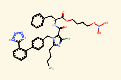 CCCCc1nc(Cl)c(C(=O)N[C@@H](Cc2ccccc2)C(=O)OCCCCON(O)O)n1Cc1ccc(-c2ccccc2-c2nnn[nH]2)cc1